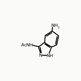 CC(=O)Nc1n[nH]c2ccc(N)cc12